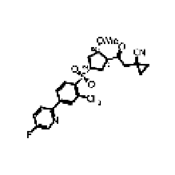 CO[C@H]1C[C@@H](S(=O)(=O)c2ccc(-c3ccc(F)cn3)cc2C(F)(F)F)C[C@@H]1C(=O)CC1(C#N)CC1